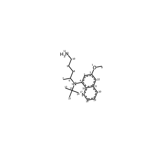 COc1cc(N(C(C)CCCN)C(C)(C)C)c2ncccc2c1